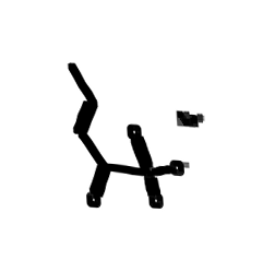 CC=CC(=O)S(=O)(=O)[O-].[Na+]